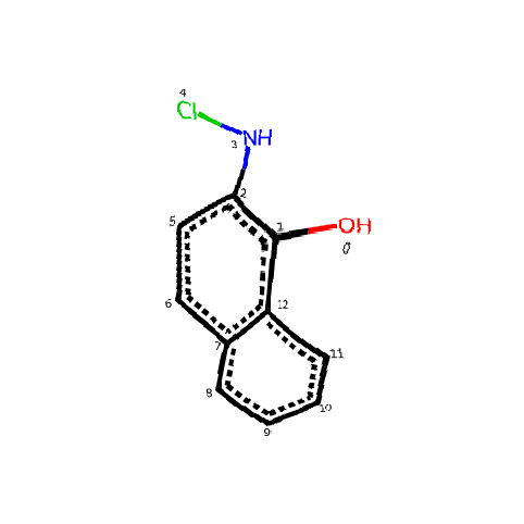 Oc1c(NCl)ccc2ccccc12